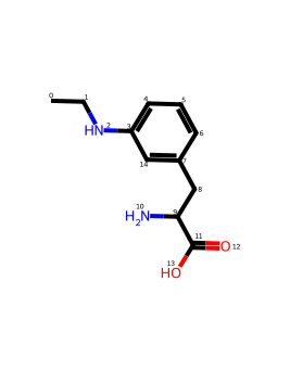 CCNc1cccc(CC(N)C(=O)O)c1